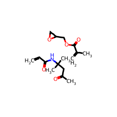 C=C(C)C(=O)OCC1CO1.C=CC(=O)NC(C)(C)CC(C)=O